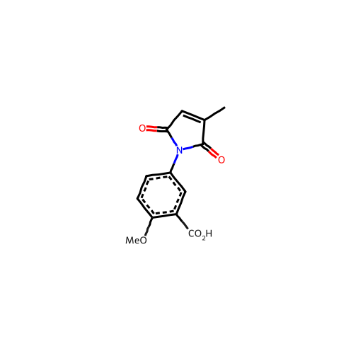 COc1ccc(N2C(=O)C=C(C)C2=O)cc1C(=O)O